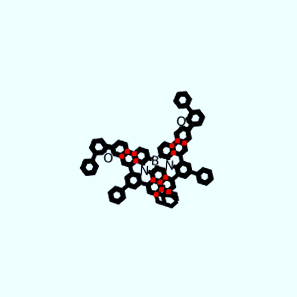 c1ccc(-c2cc(-c3ccccc3)c(N3c4cc(-c5ccc6c(c5)oc5c(-c7ccccc7)cccc56)ccc4B4c5ccc(-c6ccc7c(c6)oc6c(-c8ccccc8)cccc67)cc5N(c5c(-c6ccccc6)cc(-c6ccccc6)cc5-c5ccccc5)c5cc(N6C7CC8CC(C7)CC6C8)cc3c54)c(-c3ccccc3)c2)cc1